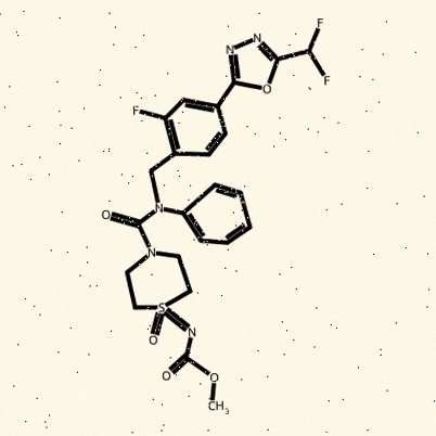 COC(=O)N=S1(=O)CCN(C(=O)N(Cc2ccc(-c3nnc(C(F)F)o3)cc2F)c2ccccc2)CC1